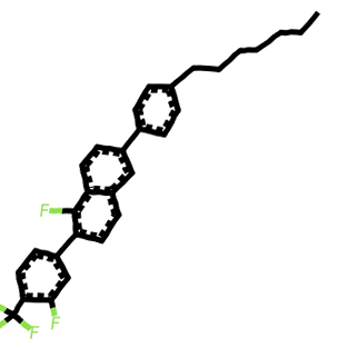 CCCCCCCc1ccc(-c2ccc3c(F)c(-c4ccc(C(F)(F)F)c(F)c4)ccc3c2)cc1